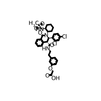 CS(=O)(=O)N[C@H]1CCCC[C@@H]1N1C(=O)c2ccccc2[C@@H](C(=O)NCCc2cccc(OCC(=O)O)c2)[C@@H]1c1ccc(Cl)cc1Cl